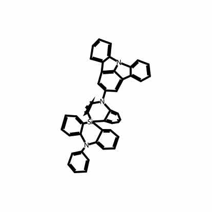 c1ccc(N2c3ccccc3[Si]3(c4ccccc42)c2ccccc2N(c2cc4c5ccccc5n5c6ccccc6c(c2)c45)c2ccccc23)cc1